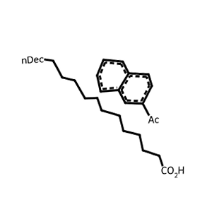 CC(=O)c1ccc2ccccc2c1.CCCCCCCCCCCCCCCCCCCCCC(=O)O